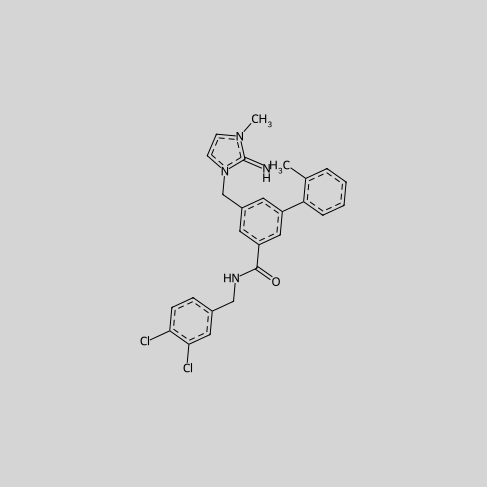 Cc1ccccc1-c1cc(Cn2ccn(C)c2=N)cc(C(=O)NCc2ccc(Cl)c(Cl)c2)c1